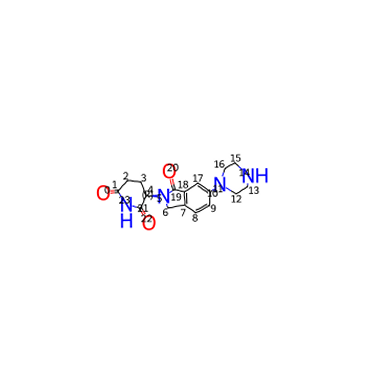 O=C1CC[C@@H](N2Cc3ccc(N4CCNCC4)cc3C2=O)C(=O)N1